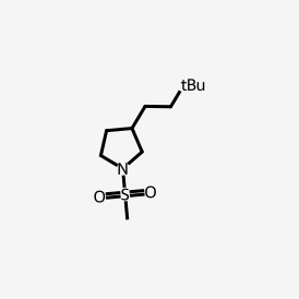 CC(C)(C)CCC1CCN(S(C)(=O)=O)C1